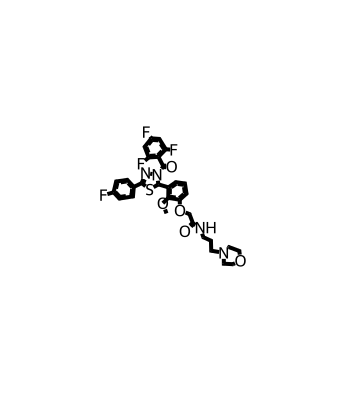 COc1c(OCC(=O)NCCCN2CCOCC2)cccc1C1SC(c2ccc(F)cc2)=NN1C(=O)c1c(F)cc(F)cc1F